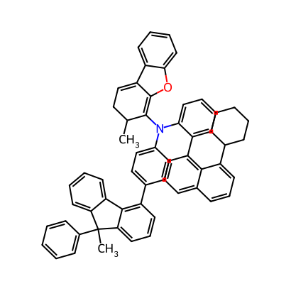 CC1CC=c2c(oc3ccccc23)=C1N(c1ccc(-c2cccc3c2-c2ccccc2C3(C)c2ccccc2)cc1)c1ccccc1-c1cccc2cccc(C3CCCCC3)c12